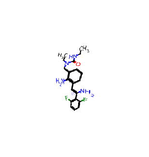 CCNC(=O)N(CC)CC1CCCC(/C=C(\N)c2c(F)cccc2F)=C1N